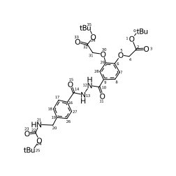 CC(C)(C)OC(=O)COc1ccc(C(=O)NNC(=O)c2ccc(CNC(=O)OC(C)(C)C)cc2)cc1OCC(=O)OC(C)(C)C